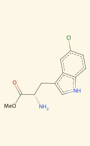 COC(=O)[C@@H](N)Cc1c[nH]c2ccc(Cl)cc12